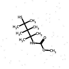 COC(=O)NC(C)(C)C(C)(C)C(C)(C)S